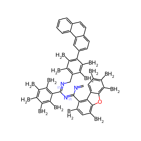 Bc1cc2c(oc3c(B)cc(B)c(/C(N=C)=N/C(=N\Cc4c(B)c(B)c(-c5ccc6ccc7ccccc7c6c5)c(B)c4B)c4c(B)c(B)c(B)c(B)c4B)c32)c(B)c1B